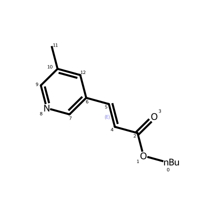 CCCCOC(=O)/C=C/c1cncc(C)c1